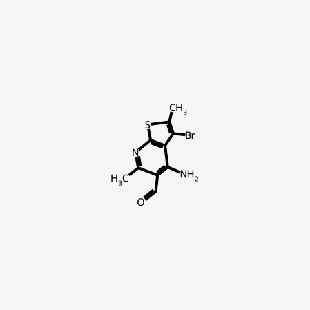 Cc1nc2sc(C)c(Br)c2c(N)c1C=O